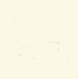 NCCCCc1cn([C@@H]2CC(O)[C@H](CO)O2)c(=O)[nH]c1=O